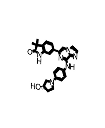 CC1(C)C(=O)Nc2cc(-c3cn4ccnc4c(Nc4ccc(N5CC[C@H](O)C5)cc4)n3)ccc21